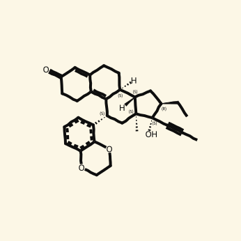 CC#C[C@]1(O)[C@H](CC)C[C@H]2[C@@H]3CCC4=CC(=O)CCC4=C3[C@@H](c3cccc4c3OCCO4)C[C@@]21C